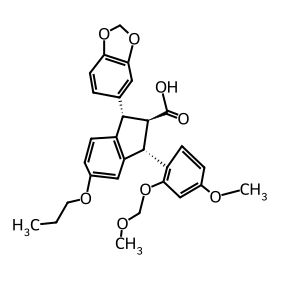 CCCOc1ccc2c(c1)[C@@H](c1ccc(OC)cc1OCOC)[C@H](C(=O)O)[C@H]2c1ccc2c(c1)OCO2